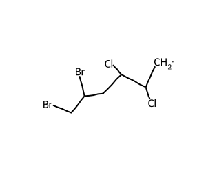 [CH2]C(Cl)C(Cl)CC(Br)CBr